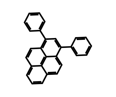 c1ccc(-c2cc(-c3ccccc3)c3ccc4cccc5ccc2c3c54)cc1